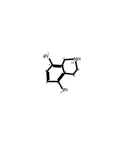 CC(C)c1ccc(C(C)C)c2c1CCNC2